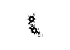 OCc1ccc2cn(Cc3ccc(F)cc3)nc2c1